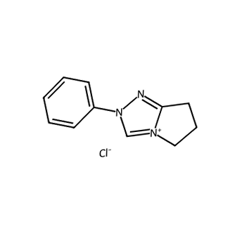 [Cl-].c1ccc(-n2c[n+]3c(n2)CCC3)cc1